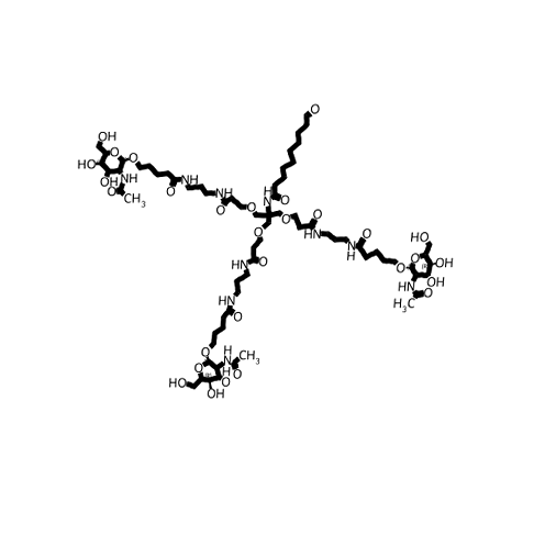 CC(=O)NC1C(O)[C@@H](O)C(CO)O[C@H]1OCCCCC(=O)NCCCNC(=O)CCOCC(COCCC(=O)NCCCNC(=O)CCCCO[C@@H]1OC(CO)[C@H](O)C(O)C1NC(C)=O)(COCCC(=O)NCCCNC(=O)CCCCO[C@@H]1OC(CO)[C@H](O)C(O)C1NC(C)=O)NC(=O)CCCCCCCCC=O